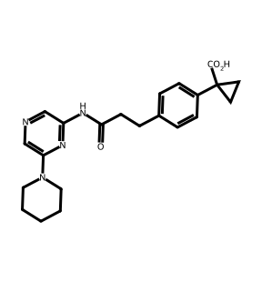 O=C(CCc1ccc(C2(C(=O)O)CC2)cc1)Nc1cncc(N2CCCCC2)n1